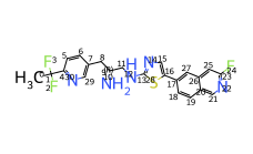 CC(F)(F)c1ccc(C[C@@H](N)CNc2ncc(-c3ccc4cnc(F)cc4c3)s2)cn1